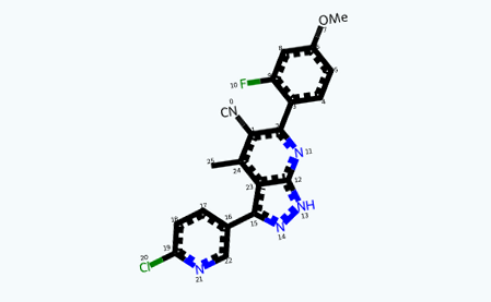 [C-]#[N+]c1c(-c2ccc(OC)cc2F)nc2[nH]nc(-c3ccc(Cl)nc3)c2c1C